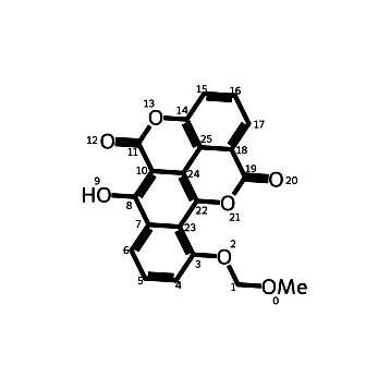 COCOc1cccc2c(O)c3c(=O)oc4cccc5c(=O)oc(c12)c3c45